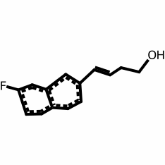 OCC/C=C/c1ccc2ccc(F)cc2c1